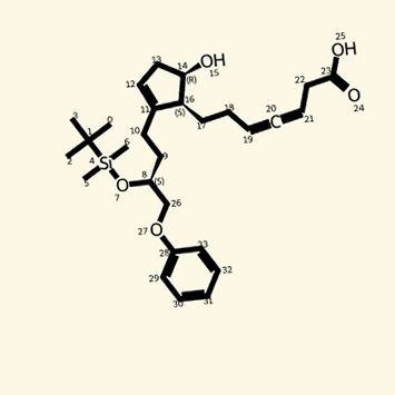 CC(C)(C)[Si](C)(C)O[C@@H](CCC1=CC[C@@H](O)[C@H]1CCC=C=CCC(=O)O)COc1ccccc1